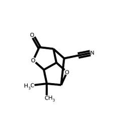 CC1(C)C2OC3C(C(=O)OC31)C2C#N